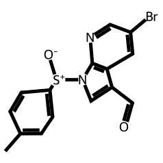 Cc1ccc([S+]([O-])n2cc(C=O)c3cc(Br)cnc32)cc1